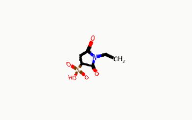 CCN1C(=O)CC(S(=O)(=O)O)C1=O